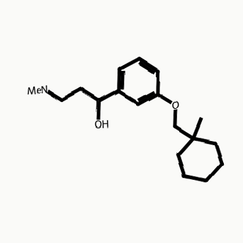 CNCCC(O)c1cccc(OCC2(C)CCCCC2)c1